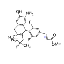 COC(=O)/C=C/c1cc(F)c(C2c3cc(N)c(O)cc3CC(C)N2CC(C)(C)F)c(F)c1